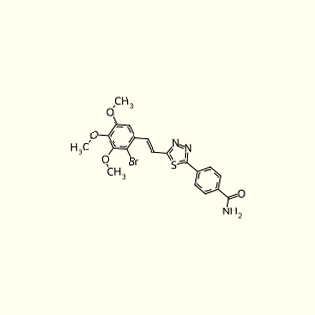 COc1cc(C=Cc2nnc(-c3ccc(C(N)=O)cc3)s2)c(Br)c(OC)c1OC